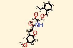 CCc1ccccc1COC[C@@H](C=O)NC(=O)c1cc2cc(OC)ccc2o1